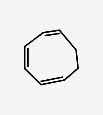 C1=CC=CCCC=C1